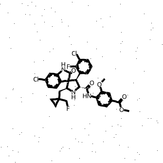 COC(=O)c1ccc(NC(=O)[C@@H]2N[C@@H](CC3(CF)CC3)C3(C(=O)Nc4cc(Cl)ccc43)[C@H]2c2cccc(Cl)c2F)c(OC)c1